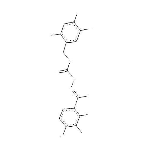 CC/C(=N\NC(=O)NCc1cc(O)c(F)cc1C)c1ccc(O)c(C)c1O